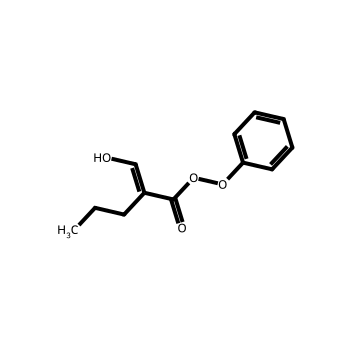 CCCC(=CO)C(=O)OOc1ccccc1